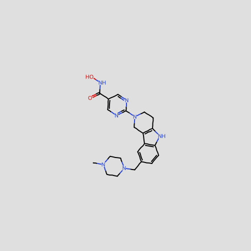 CN1CCN(Cc2ccc3[nH]c4c(c3c2)CN(c2ncc(C(=O)NO)cn2)CC4)CC1